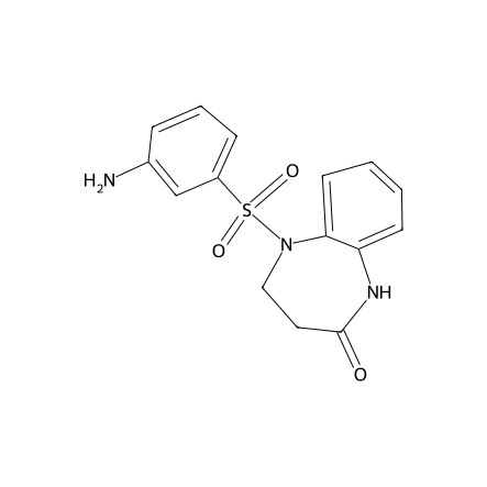 Nc1cccc(S(=O)(=O)N2CCC(=O)Nc3ccccc32)c1